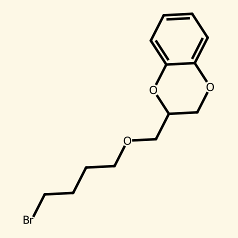 BrCCCCOCC1COc2ccccc2O1